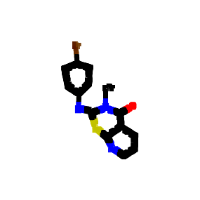 CCCn1c(=Nc2ccc(Br)cc2)sc2ncccc2c1=O